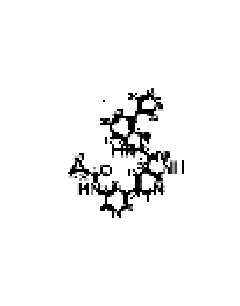 O=C(Nc1cncc(-c2cnc3[nH]nc(-c4nc5c(-c6ccsc6)cccc5[nH]4)c3c2)c1)C1CC1